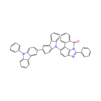 O=c1c2ccccc2c2c(-n3c4ccccc4c4cc(-c5ccc6c(c5)c5ccccc5n6-c5ccccc5)ccc43)ccc3nc(-c4ccccc4)n1c32